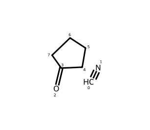 C#N.O=C1CCCC1